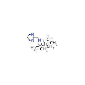 CC(C)(C)CCN(Cc1ncccn1)CC(C)(C)C